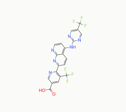 O=C(O)c1cnc(-c2ccc3c(Nc4ncc(C(F)(F)F)cn4)ccnc3n2)c(C(F)(F)F)c1